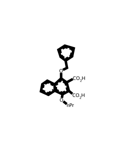 CCCOc1c(C(=O)O)c(C(=O)O)c(OCc2ccccc2)c2ccccc12